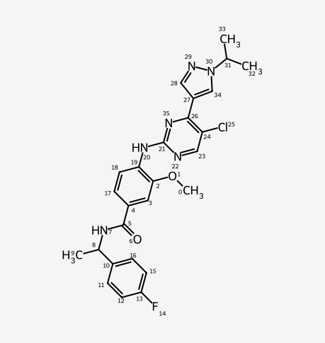 COc1cc(C(=O)NC(C)c2ccc(F)cc2)ccc1Nc1ncc(Cl)c(-c2cnn(C(C)C)c2)n1